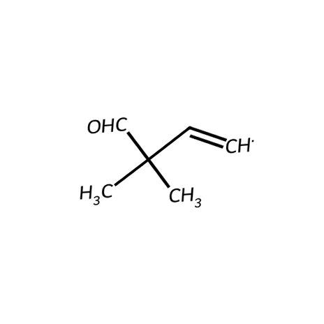 [CH]=CC(C)(C)C=O